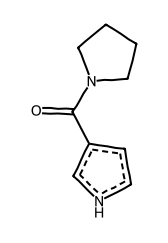 O=C(c1cc[nH]c1)N1CCCC1